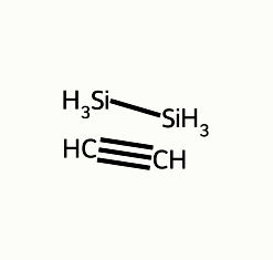 C#C.[SiH3][SiH3]